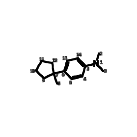 CN(C)c1ccc(C2(C)CCCC2)cc1